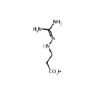 NC(N)=NNCCC(=O)O